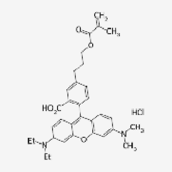 C=C(C)C(=O)OCCCc1ccc(C2=C3C=CC(N(CC)CC)C=C3Oc3cc(N(C)C)ccc32)c(C(=O)O)c1.Cl